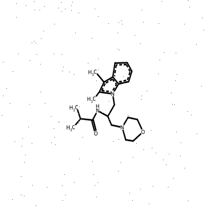 Cc1c(C)n(CC(CN2CCOCC2)NC(=O)C(C)C)c2ccccc12